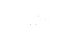 Cc1ccc(NC(=O)c2ccccn2)cc1